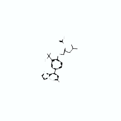 CC(C)C[C@@](C)(COc1ccc(-c2cc(Cl)nn3ccnc23)cc1C(F)(F)F)OC(N)=O